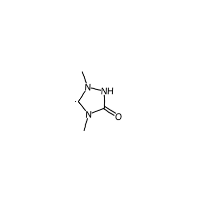 CN1[CH]N(C)C(=O)N1